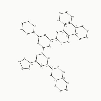 C1CCC(C2CC(C3CC(C4CCCC4)NC(C4CCC5CCCCC5C4)C3)CC(C3CCC4C(C3)C3=C(CCCC3)C3CCCCC34)C2)CC1